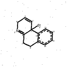 CCC12C=CCN=C1CCc1ccccc12